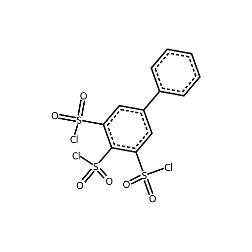 O=S(=O)(Cl)c1cc(-c2ccccc2)cc(S(=O)(=O)Cl)c1S(=O)(=O)Cl